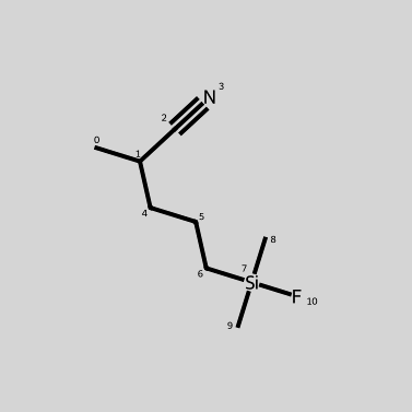 CC(C#N)CCC[Si](C)(C)F